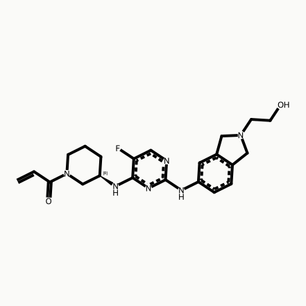 C=CC(=O)N1CCC[C@@H](Nc2nc(Nc3ccc4c(c3)CN(CCO)C4)ncc2F)C1